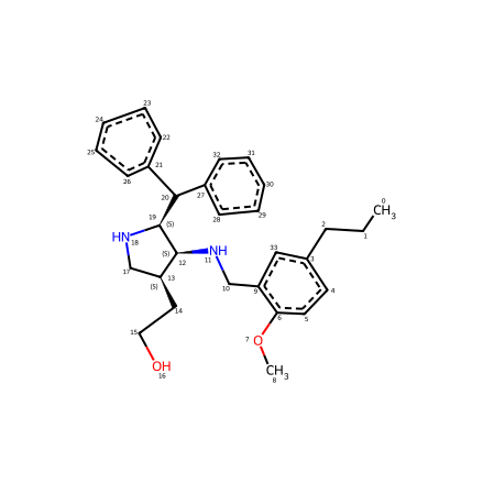 CCCc1ccc(OC)c(CN[C@H]2[C@@H](CCO)CN[C@H]2C(c2ccccc2)c2ccccc2)c1